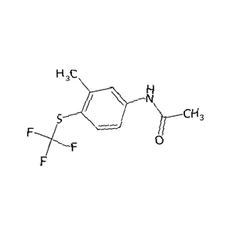 CC(=O)Nc1ccc(SC(F)(F)F)c(C)c1